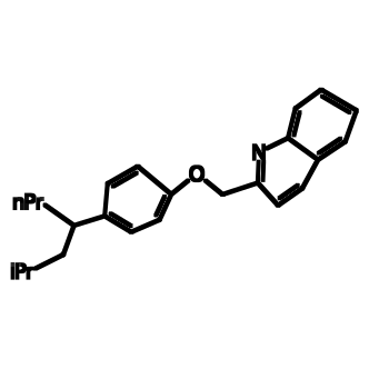 CCCC(CC(C)C)c1ccc(OCc2ccc3ccccc3n2)cc1